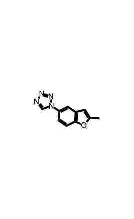 Cc1cc2cc(-n3cnnn3)ccc2o1